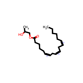 CCCCC/C=C\C/C=C\C/C=C\CCCCC(=O)OCC(C)O